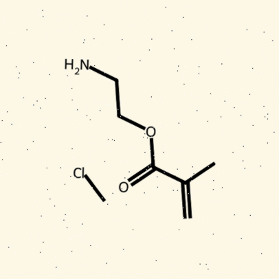 C=C(C)C(=O)OCCN.CCl